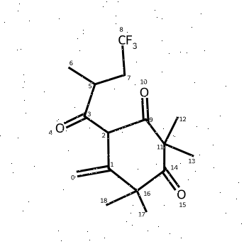 C=C1C(C(=O)C(C)CC(F)(F)F)C(=O)C(C)(C)C(=O)C1(C)C